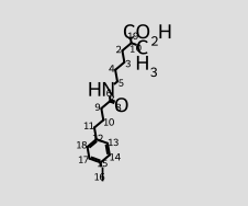 CC(CCCCNC(=O)CCCc1ccc(I)cc1)C(=O)O